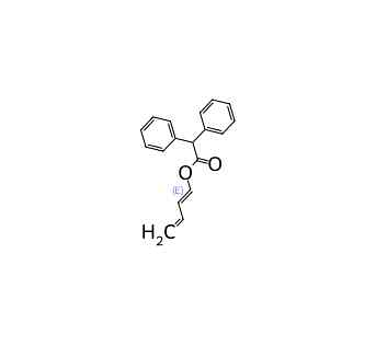 C=C/C=C/OC(=O)C(c1ccccc1)c1ccccc1